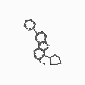 N#Cc1ccc2c(oc3ccc(-c4ccccn4)cc32)c1C1CCCCC1